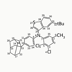 Cc1cc(Cl)c(Cl)c(N(c2ccc(C34CC5CC(CC(C5)C3)C4)cc2)c2csc3ccc(C(C)(C)C)cc23)c1